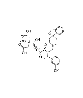 CN(C)C(=O)C(Cc1cccc(O)c1)CN1CCC2(CC1)OCc1ccccc12.O=C(O)CC(O)(CC(=O)O)C(=O)O